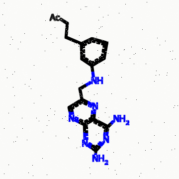 CC(=O)CCc1cccc(NCc2cnc3nc(N)nc(N)c3n2)c1